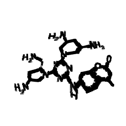 Cc1cc(=O)oc2cc(Nc3nc(N4C[C@H](N)C[C@H](N)C4)nc(N4C[C@@H](N)C[C@@H]4CN)n3)ccc12